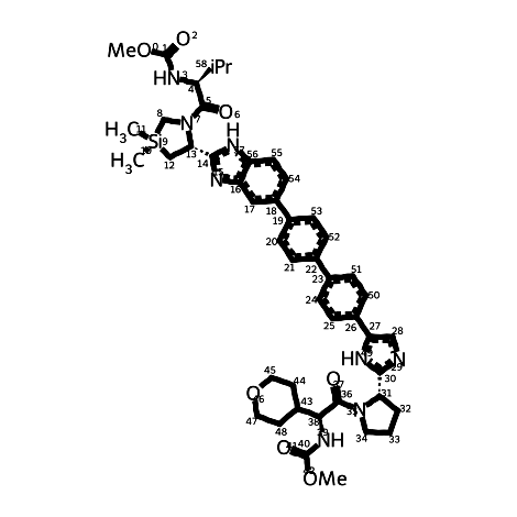 COC(=O)N[C@H](C(=O)N1C[Si](C)(C)C[C@H]1c1nc2cc(-c3ccc(-c4ccc(-c5cnc([C@@H]6CCCN6C(=O)[C@@H](NC(=O)OC)C6CCOCC6)[nH]5)cc4)cc3)ccc2[nH]1)C(C)C